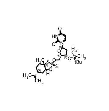 C=C(C)[C@@H]1CC[C@]2(C)S[P@@](=S)(OC[C@H]3O[C@@H](n4ccc(=O)[nH]c4=O)C[C@@H]3O[Si](C)(C)C(C)(C)C)O[C@H]2C1